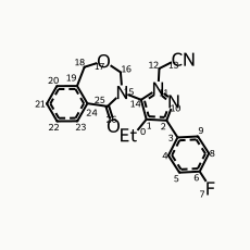 CCc1c(-c2ccc(F)cc2)nn(CC#N)c1N1COCc2ccccc2C1=O